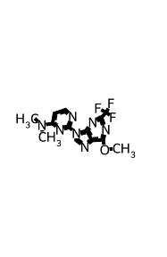 COc1nc(C(F)(F)F)nc2c1ncn2-c1nccc(N(C)C)n1